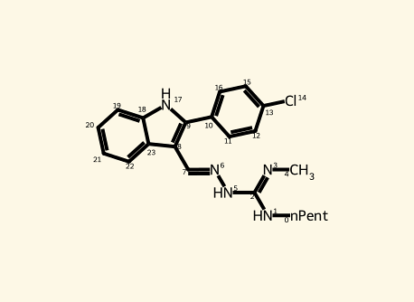 CCCCCNC(=NC)NN=Cc1c(-c2ccc(Cl)cc2)[nH]c2ccccc12